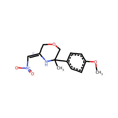 COc1ccc(C2(C)COC/C(=C/[N+](=O)[O-])N2)cc1